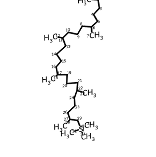 CC(C)CCCC(C)CCCC(C)CCCCC(C)CCCC(C)CCCC(C)C[Si](C)(C)C